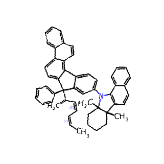 C=C(/C=C\C=C/C)C1(c2ccccc2)c2cc(N3c4c(ccc5ccccc45)C4(C)CCCCC34C)ccc2-c2c1ccc1c2ccc2ccccc21